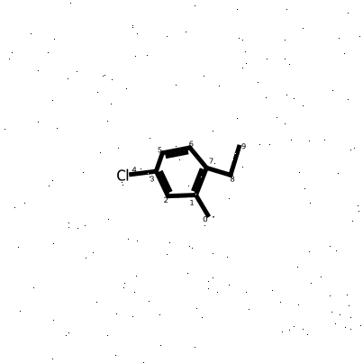 [CH2]c1cc(Cl)ccc1CC